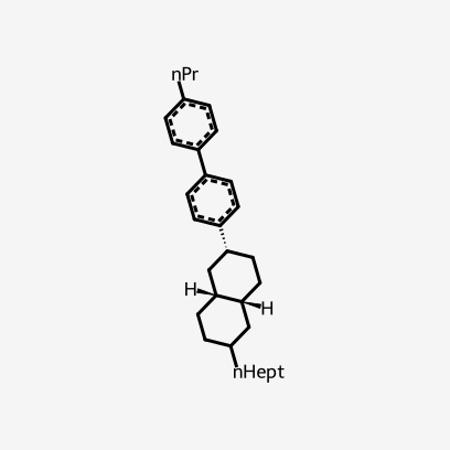 CCCCCCCC1CC[C@@H]2C[C@H](c3ccc(-c4ccc(CCC)cc4)cc3)CC[C@@H]2C1